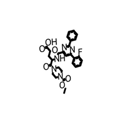 CCOC(=O)N1CCN(C(=O)C(CCC(=O)O)NC(=O)c2cc(-c3ccccc3F)nc(-c3ccccc3)n2)CC1